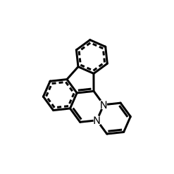 C1=CN2C=c3cccc4c3=C(c3ccccc3-4)N2C=C1